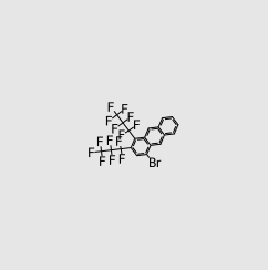 FC(F)(F)C(F)(F)C(F)(F)c1cc(Br)c2cc3ccccc3cc2c1C(F)(F)C(F)(F)C(F)(F)F